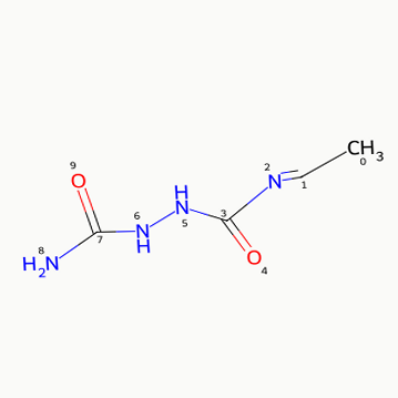 CC=NC(=O)NNC(N)=O